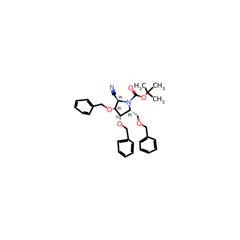 CC(C)(C)OC(=O)N1[C@H](C#N)[C@@H](OCc2ccccc2)[C@@H](OCc2ccccc2)[C@H]1COCc1ccccc1